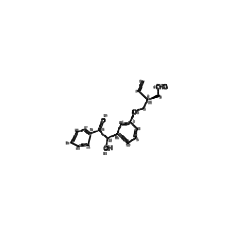 C=C[C@@H](CC=O)COc1cccc(C(O)C(=O)c2ccccc2)c1